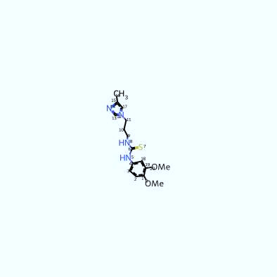 COc1ccc(NC(=S)NCCCn2cnc(C)c2)cc1OC